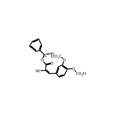 CCC[C@@H](OC(=O)C(C#N)=Cc1ccc(OC(=O)OCC)c(OC(=O)OCC)c1)c1ccccc1